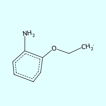 [CH2]COc1ccccc1N